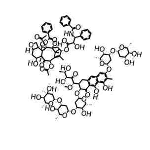 CC(=O)O[C@H]1C(=O)[C@@]2(C)[C@H]([C@H](OC(=O)c3ccccc3)[C@]3(O)C[C@H](OC(=O)[C@H](O)[C@@H](NC(=O)c4ccccc4)c4ccccc4)C(C)=C1C3(C)C)[C@]1(OC(C)=O)CO[C@@H]1C[C@@H]2O.CO[C@H](C(=O)[C@@H](O)[C@@H](C)O)C1Cc2cc3cc(O[C@H]4C[C@@H](O[C@H]5C[C@@H](O)[C@H](O)[C@@H](C)O5)[C@@H](O)[C@@H](C)O4)c(C)c(O)c3c(O)c2C(=O)[C@H]1O[C@H]1C[C@@H](O[C@H]2C[C@@H](O[C@H]3C[C@](C)(O)[C@H](O)[C@@H](C)O3)[C@H](O)[C@@H](C)O2)[C@H](O)[C@@H](C)O1